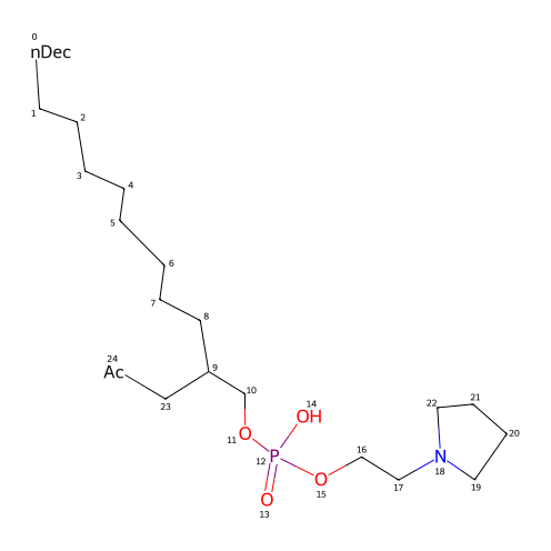 CCCCCCCCCCCCCCCCCCC(COP(=O)(O)OCCN1CCCC1)CC(C)=O